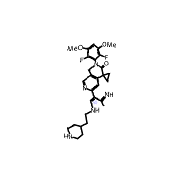 COc1cc(OC)c(F)c(N2Cc3cnc(/C(=C/NCCC4CCNCC4)C(C)=N)cc3C3(CC3)C2=O)c1F